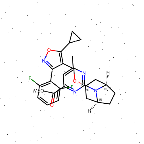 COC(=O)c1cc(C)nc(N2[C@@H]3CC[C@H]2C[C@H](OCc2c(-c4c(F)cccc4F)noc2C2CC2)C3)n1